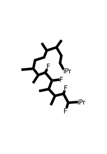 CC(C)CCC(C)C(C)CCC(C)C(C)C(F)C(F)C(C)C(C)C(F)C(F)C(C)C